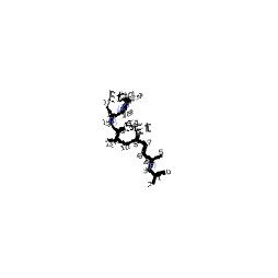 C=C(C)/C=C(\C)CCC(CC)CC(C)C(=S)/C=C(C)\C=C/CC